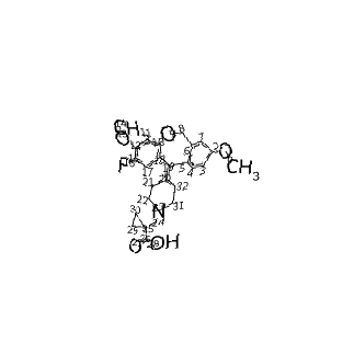 COc1ccc2c(c1)COc1cc(OC)c(F)cc1C2=C1CCN(CC2(C(=O)O)CC2)CC1